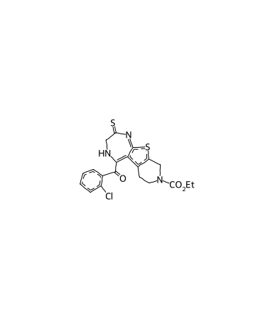 CCOC(=O)N1CCc2c(sc3c2=C(C(=O)c2ccccc2Cl)NCC(=S)N=3)C1